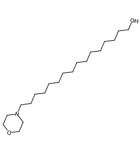 OCCCCCCCCCCCCCCCCN1CCOCC1